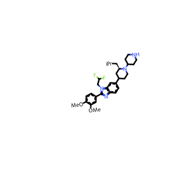 COc1ccc(-c2nc3ccc(C4CCN(C5CCNCC5)[C@H](CC(C)C)C4)cc3n2CC(F)F)cc1OC